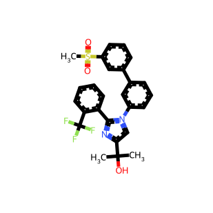 CC(C)(O)c1cn(-c2cccc(-c3cccc(S(C)(=O)=O)c3)c2)c(-c2ccccc2C(F)(F)F)n1